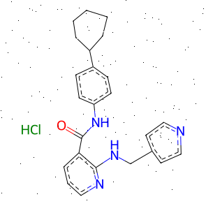 Cl.O=C(Nc1ccc(C2CCCCC2)cc1)c1cccnc1NCc1ccncc1